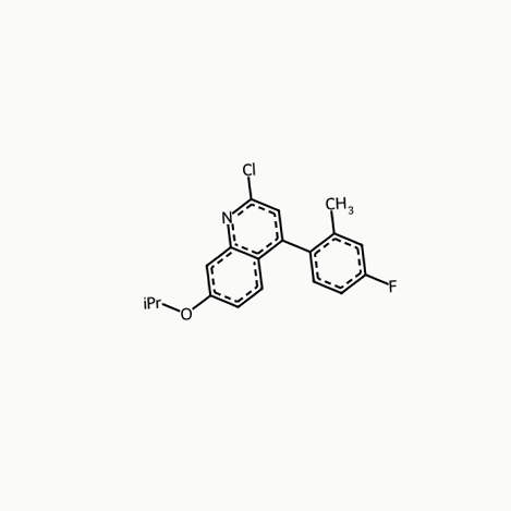 Cc1cc(F)ccc1-c1cc(Cl)nc2cc(OC(C)C)ccc12